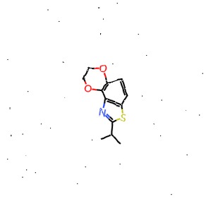 CC(C)c1nc2c3c(ccc2s1)OCCO3